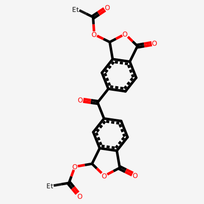 CCC(=O)OC1OC(=O)c2ccc(C(=O)c3ccc4c(c3)C(OC(=O)CC)OC4=O)cc21